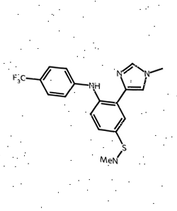 CNSc1ccc(Nc2ccc(C(F)(F)F)cc2)c(-c2cn(C)cn2)c1